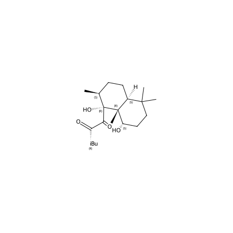 CC[C@@H](C)C(=O)C(=O)[C@@]1(O)[C@@H](C)CC[C@H]2C(C)(C)CC[C@H](O)[C@@]21C